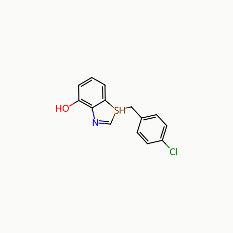 Oc1cccc2c1N=C[SH]2Cc1ccc(Cl)cc1